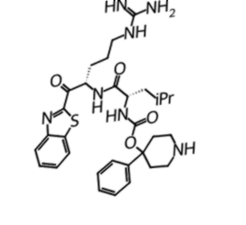 CC(C)C[C@H](NC(=O)OC1(c2ccccc2)CCNCC1)C(=O)N[C@@H](CCCNC(=N)N)C(=O)c1nc2ccccc2s1